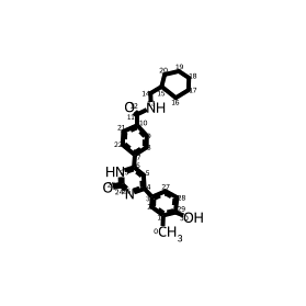 Cc1cc(-c2cc(-c3ccc(C(=O)NCC4CCCCC4)cc3)[nH]c(=O)n2)ccc1O